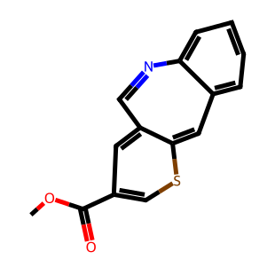 COC(=O)C1=CSC2=Cc3ccccc3N=CC2=C1